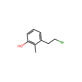 Cc1c(O)cccc1CCBr